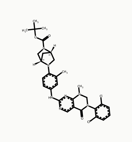 Cc1cc(Nc2ncc3c(n2)N(C)CN(c2c(Cl)cccc2Cl)C3=O)ccc1N1C[C@@H]2C[C@H]1CN2C(=O)OC(C)(C)C